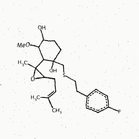 COC1C(O)CCC(O)(CSCCc2ccc(F)cc2)C1C1(C)OC1CC=C(C)C